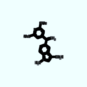 C=C(c1cc(OC)nc(SC)c1)c1ccc2c(c1)c(C(=O)O)cn2C